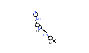 CCn1c(C#CCNc2ccc(C(C)(C)C#N)cc2)cc2cc(CNC3CCN(I)CC3)ccc21